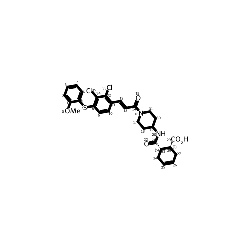 COc1ccccc1Sc1ccc(C=CC(=O)N2CCC(NC(=O)[C@H]3CC=CC[C@H]3C(=O)O)CC2)c(Cl)c1Cl